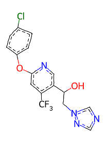 OC(Cn1cncn1)c1cnc(Oc2ccc(Cl)cc2)cc1C(F)(F)F